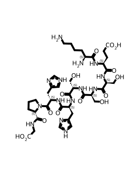 NCCCC[C@H](N)C(=O)N[C@@H](CCC(=O)O)C(=O)N[C@@H](CO)C(=O)N[C@@H](CO)C(=O)N[C@@H](CO)C(=O)N[C@@H](Cc1c[nH]cn1)C(=O)N[C@@H](Cc1c[nH]cn1)C(=O)N1CCC[C@H]1C(=O)NCC(=O)O